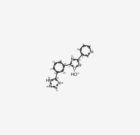 Cl.c1cncc(-c2noc(-c3cccc(-c4nnn[nH]4)c3)n2)c1